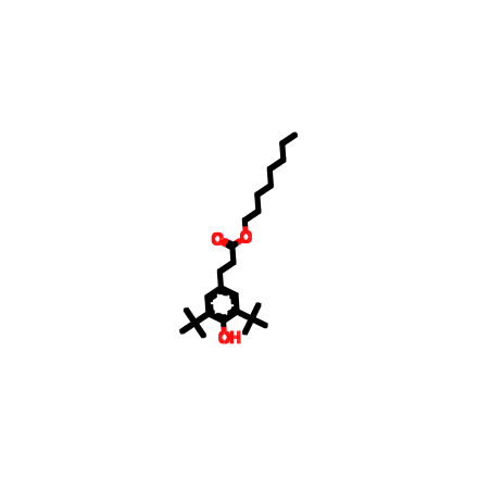 CCCCCCCCOC(=O)CCc1cc(C(C)(C)C)c(O)c(C(C)(C)C)c1